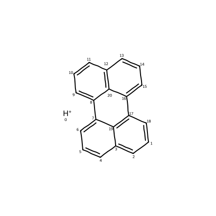 [H+].c1cc2cccc3c4cccc5cccc(c(c1)c23)c54